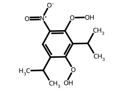 CC(C)c1cc([N+](=O)[O-])c(OO)c(C(C)C)c1OO